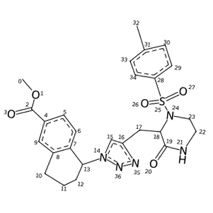 COC(=O)c1ccc2c(c1)CCCC2n1cc(CC2C(=O)NCCN2S(=O)(=O)c2ccc(C)cc2)nn1